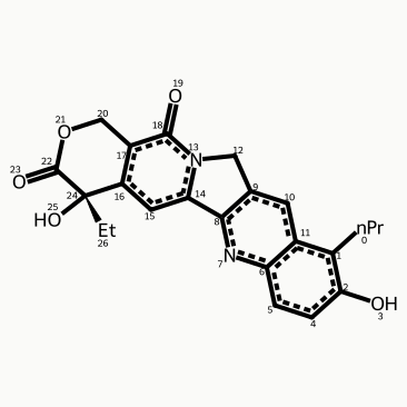 CCCc1c(O)ccc2nc3c(cc12)Cn1c-3cc2c(c1=O)COC(=O)[C@]2(O)CC